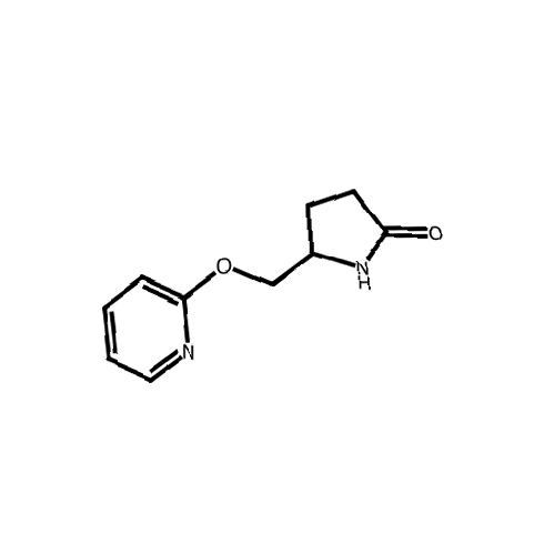 O=C1CCC(COc2ccccn2)N1